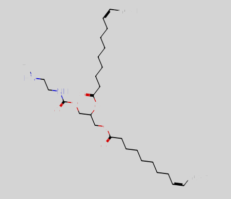 CCCCCCCC/C=C\CCCCCCCC(=O)OCC(COC(=O)NCCNCC)OC(=O)CCCCCCC/C=C\CCCCCCCC